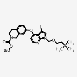 CC(C)(C)OC(=O)N1CCc2ccc(Oc3ccnc4c3c(I)cn4COCCS(C)(C)C)cc2C1